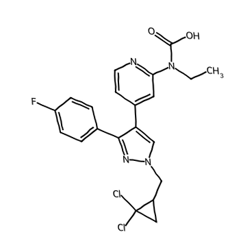 CCN(C(=O)O)c1cc(-c2cn(CC3CC3(Cl)Cl)nc2-c2ccc(F)cc2)ccn1